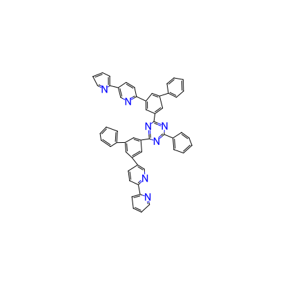 c1ccc(-c2cc(-c3ccc(-c4ccccn4)nc3)cc(-c3nc(-c4ccccc4)nc(-c4cc(-c5ccccc5)cc(-c5ccc(-c6ccccn6)cn5)c4)n3)c2)cc1